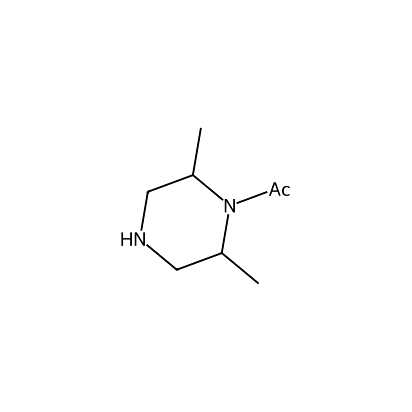 CC(=O)N1C(C)CNCC1C